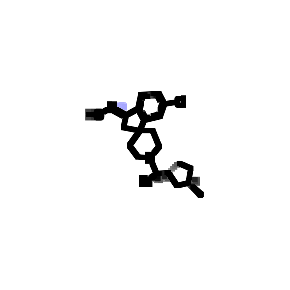 CC[C@H]([C@@H]1CC[C@@H](C)C1)N1CCC2(CC1)C/C(=N\O)c1ccc(Cl)cc12